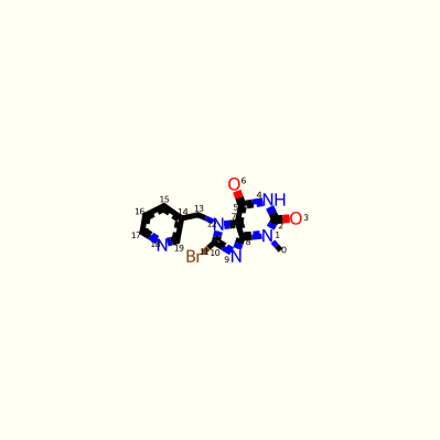 Cn1c(=O)[nH]c(=O)c2c1nc(Br)n2Cc1cccnc1